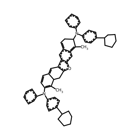 CC1=C(N(c2ccccc2)c2ccc(C3CCCCC3)cc2)C=CC2=Cc3c(oc4cc5c(cc34)=CCC(N(c3ccccc3)c3ccc(C4CCCCC4)cc3)C=5C)CC21